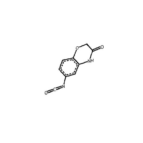 O=C=Nc1ccc2c(c1)NC(=O)CO2